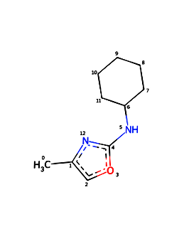 Cc1coc(NC2CCCCC2)n1